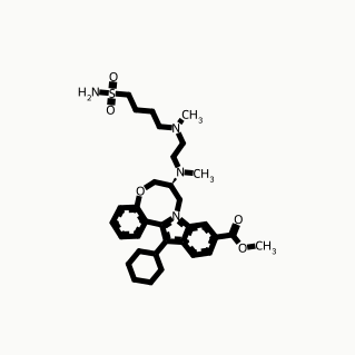 COC(=O)c1ccc2c(C3CCCCC3)c3n(c2c1)C[C@@H](N(C)CCN(C)CCCCS(N)(=O)=O)COc1ccccc1-3